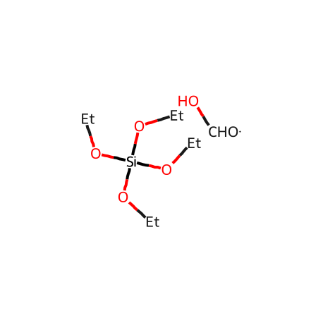 CCO[Si](OCC)(OCC)OCC.O=[C]O